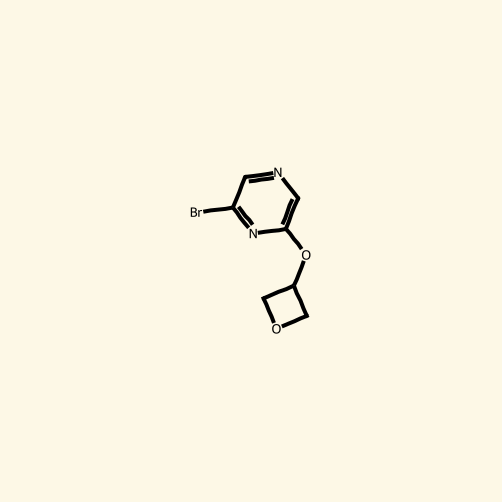 Brc1cncc(OC2COC2)n1